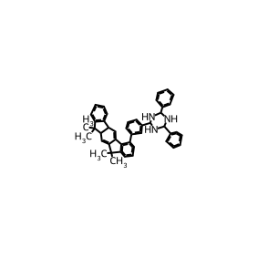 CC1(C)C2=CC3C(C=C2c2c(-c4cccc(C5NC(c6ccccc6)NC(c6ccccc6)N5)c4)cccc21)c1ccccc1C3(C)C